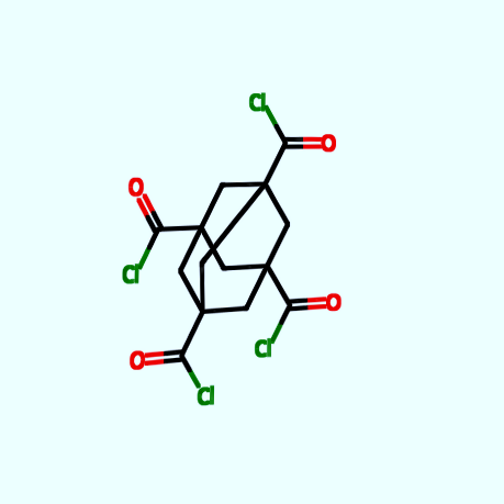 O=C(Cl)C12CC3(C(=O)Cl)CC(C(=O)Cl)(C1)CC(C(=O)Cl)(C2)C3